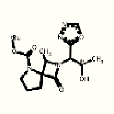 CC1N(C(c2nnco2)[C@@H](C)O)C(=O)C12CCCN2C(=O)OC(C)(C)C